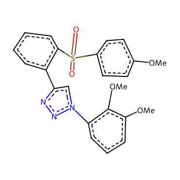 COc1ccc(S(=O)(=O)c2ccccc2-c2cn(-c3cccc(OC)c3OC)nn2)cc1